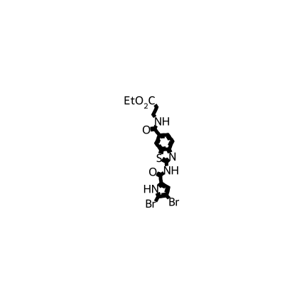 CCOC(=O)CCNC(=O)c1ccc2nc(NC(=O)c3cc(Br)c(Br)[nH]3)sc2c1